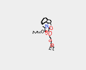 CCOCCOCCOCC(=O)N(c1c(C)ccc2ccccc12)C(C)C(=O)OC